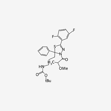 COC(C)C(=O)N1N=C(c2cc(F)ccc2F)SC1(CCCNC(=O)OC(C)(C)C)c1ccccc1